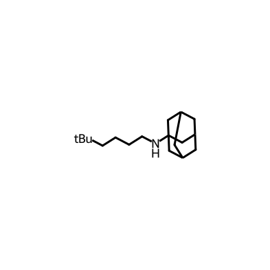 CC(C)(C)CCCCNC12CC3CC(CC(C3)C1)C2